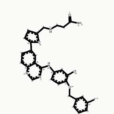 NC(=O)CCNCc1ccc(-c2ccc3ncnc(Nc4ccc(OCc5cccc(F)c5)c(Cl)c4)c3c2)o1